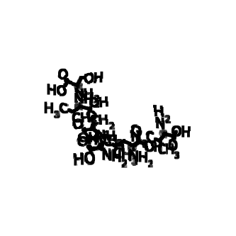 C=C(N)C(=O)O.C=C(N)C(=O)O.CC(C)C[C@H](N)C(=O)O.CC(C)[C@H](N)C(=O)O.CC(C)[C@H](N)C(=O)O.N[C@@H](CO)C(=O)O